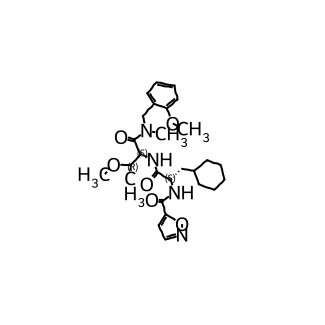 COc1ccccc1CN(C)C(=O)[C@@H](NC(=O)[C@H](CC1CCCCC1)NC(=O)c1ccno1)[C@@H](C)OC